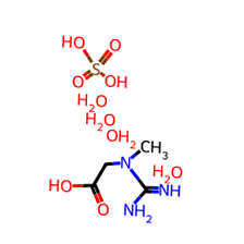 CN(CC(=O)O)C(=N)N.O.O.O.O.O=S(=O)(O)O